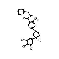 CN(Cc1ccccn1)C(=O)c1cnc(N2CCC(c3cc(Cl)c(Cl)c(Cl)c3)(C(F)(F)F)C2)nc1C(F)(F)F